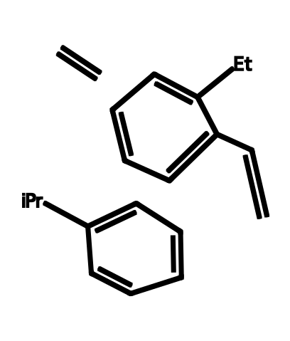 C=C.C=Cc1ccccc1CC.CC(C)c1ccccc1